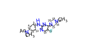 CC(=O)N(C)c1ccc(Nc2ncc(F)c(N3CCN(C)CC3)n2)cc1